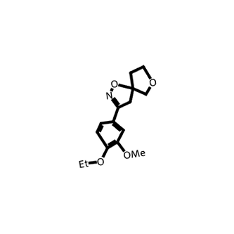 CCOc1ccc(C2=NOC3(CCOC3)C2)cc1OC